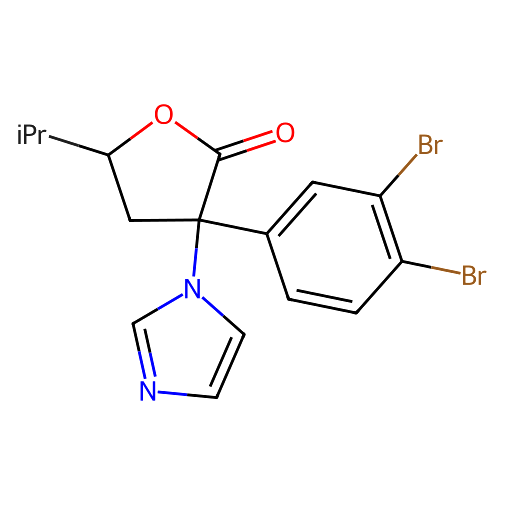 CC(C)C1CC(c2ccc(Br)c(Br)c2)(n2ccnc2)C(=O)O1